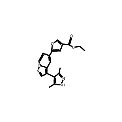 CCOC(=O)c1coc(-c2ccn3ncc(-c4c(C)n[nH]c4C)c3c2)c1